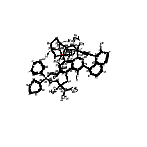 CC(C)[Si](C#Cc1c(F)ccc2cccc(-c3nc4c5c(nc(=O)n(CC(C)(CO[Si](c6ccccc6)(c6ccccc6)C(C)(C)C)N(C)C)c5c3F)N3C[C@H]5CC[C@@H]([C@H]3[C@H](C)O4)N5C(=O)OC(C)(C)C)c12)(C(C)C)C(C)C